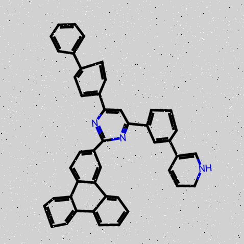 C1=CC(c2cccc(-c3cc(-c4ccc(-c5ccccc5)cc4)nc(-c4ccc5c6ccccc6c6ccccc6c5c4)n3)c2)=CNC1